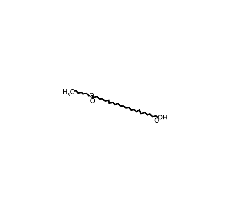 CCCCCCCOC(=O)CCCCCCCCCCCCCCCCCCCCCCCC(=O)O